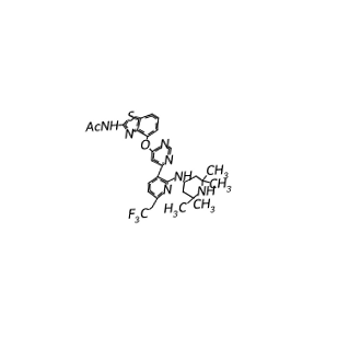 CC(=O)Nc1nc2c(Oc3cc(-c4ccc(CC(F)(F)F)nc4NC4CC(C)(C)NC(C)(C)C4)ncn3)cccc2s1